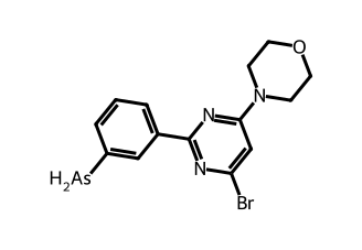 [AsH2]c1cccc(-c2nc(Br)cc(N3CCOCC3)n2)c1